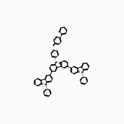 c1ccc(-n2c3ccccc3c3cc(-c4ccc5c(c4)c4cc(-c6ccc7c(c6)c6ccccc6n7-c6ccccc6)ccc4n5-c4ccc(Oc5ccc6c(c5)oc5ccccc56)cc4)ccc32)cc1